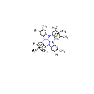 Cc1ccc(N2c3cc(C)c(C(C)C)cc3N(c3ccc(C)c(C)c3)C2C2N(c3ccc(C)c(C)c3)c3cc(C)c(C(C)C)cc3N2c2ccc(C)c(C)c2)cc1C